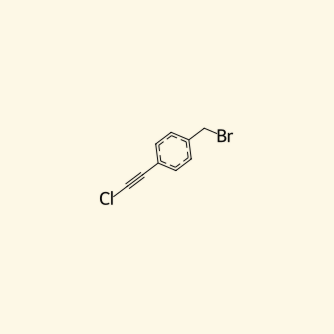 ClC#Cc1ccc(CBr)cc1